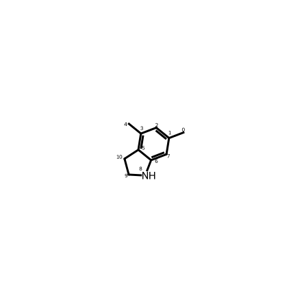 Cc1cc(C)c2c(c1)NCC2